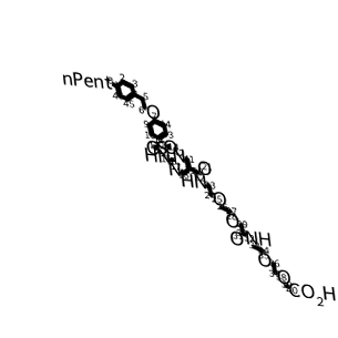 CCCCCc1ccc(CCOc2ccc(S(=O)(=O)Nc3ncc(C(=O)NCCOCCOCC(=O)NCCOCCOCC(=O)O)cn3)cc2)cc1